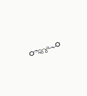 O=C(CC(O)C/C=C/c1ccccc1)OC/C=C/c1ccccc1